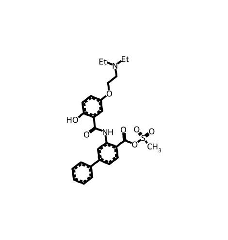 CCN(CC)CCOc1ccc(O)c(C(=O)Nc2cc(-c3ccccc3)ccc2C(=O)OS(C)(=O)=O)c1